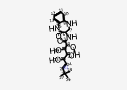 CO[C@@H](C(=O)NC1CNc2ccccc2NC1=O)[C@H](O)[C@@H](O)[C@H](O)/C=C/C(C)(C)C